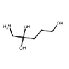 NCC(O)(O)CCCO